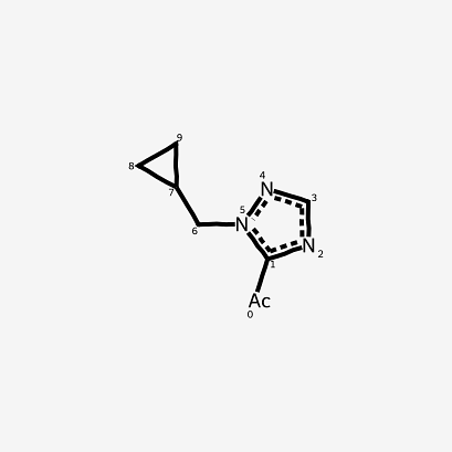 CC(=O)c1ncnn1CC1CC1